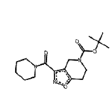 CC(C)(C)OC(=O)N1CCc2onc(C(=O)N3CCCCC3)c2C1